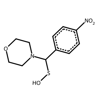 O=[N+]([O-])c1ccc(C(SO)N2CCOCC2)cc1